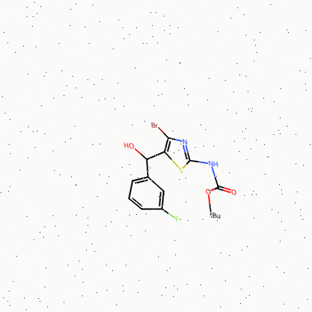 CC(C)(C)OC(=O)Nc1nc(Br)c(C(O)c2cccc(F)c2)s1